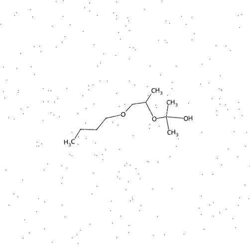 CCCCOCC(C)OC(C)(C)O